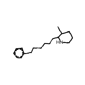 CC1CCCNC1CCCCCCc1ccccc1